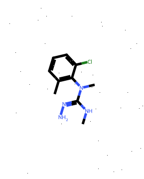 CNC(=NN)N(C)c1c(C)cccc1Cl